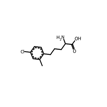 Cc1cc(Cl)ccc1CCCC(N)C(=O)O